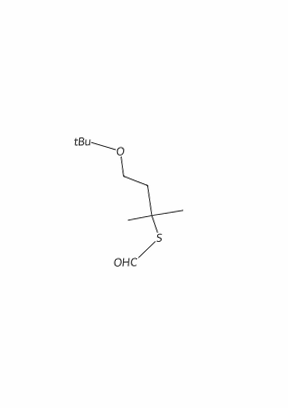 CC(C)(C)OCCC(C)(C)SC=O